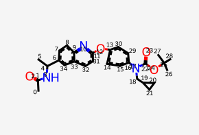 CC(=O)NC(C)c1ccc2nc(Oc3ccc(N(CC4CC4)C(=O)OC(C)(C)C)cc3)ccc2c1